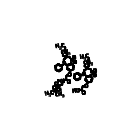 CCCCC1(CC)CN(c2ccccc2)c2cc(OCC(=O)NCC(=O)OC(C)(C)C)ccc2S(=O)(=O)C1.CCCCC1(CC)CN(c2ccccc2)c2cc(OCC(=O)O)ccc2S(=O)(=O)C1